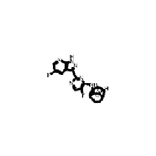 CC(=O)[C@@H]1C2CCCC(CC2)C1Nc1nc(-c2n[nH]c3ncc(F)cc23)ncc1F